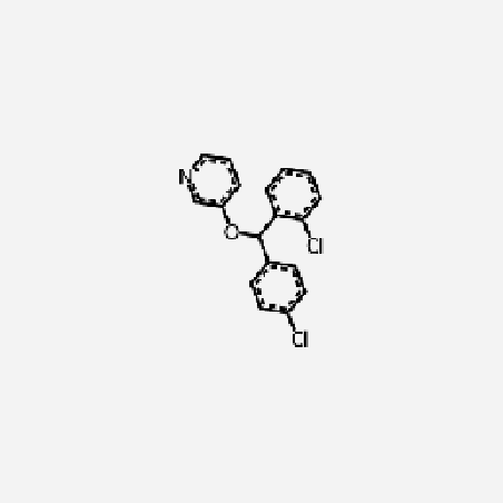 Clc1ccc(C(Oc2cccnc2)c2ccccc2Cl)cc1